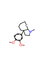 COc1ccc(C23CCCCCC2N(C)CC3)cc1OC